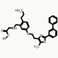 Cc1oc(-c2cccc(-c3ccccc3)c2)nc1CCOc1ccc(CCC(=O)O)c(CNCC(=O)OC(C)C)c1